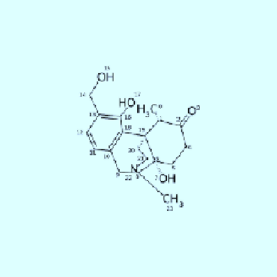 C[C@@H]1C(=O)CC[C@@]2(O)C3Cc4ccc(CO)c(O)c4[C@@]12CCN3C